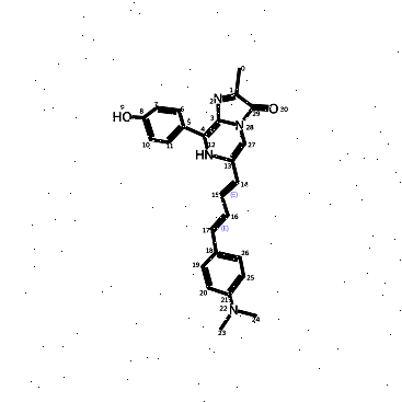 Cc1nc2c(-c3ccc(O)cc3)[nH]c(/C=C/C=C/c3ccc(N(C)C)cc3)cn-2c1=O